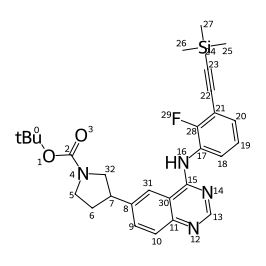 CC(C)(C)OC(=O)N1CCC(c2ccc3ncnc(Nc4cccc(C#C[Si](C)(C)C)c4F)c3c2)C1